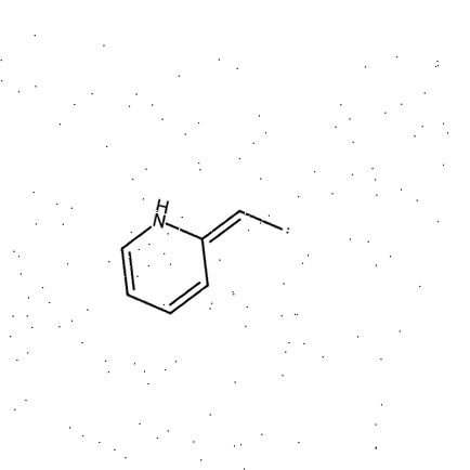 [CH]C=C1C=CC=CN1